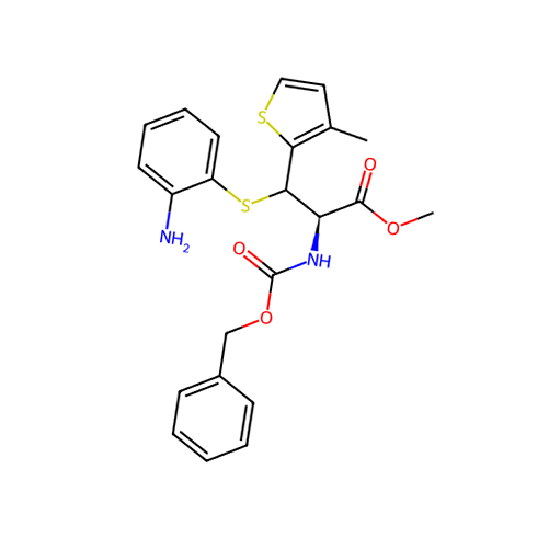 COC(=O)[C@@H](NC(=O)OCc1ccccc1)C(Sc1ccccc1N)c1sccc1C